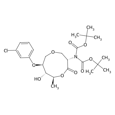 C[C@@H]1OC(=O)[C@@H](N(C(=O)OC(C)(C)C)C(=O)OC(C)(C)C)COC[C@H](Oc2cccc(Cl)c2)[C@H]1O